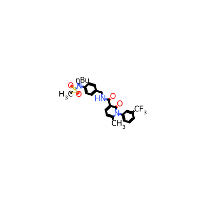 CCCCN(c1ccc(CNC(=O)c2ccc(C)n(-c3cccc(C(F)(F)F)c3)c2=O)cc1)S(C)(=O)=O